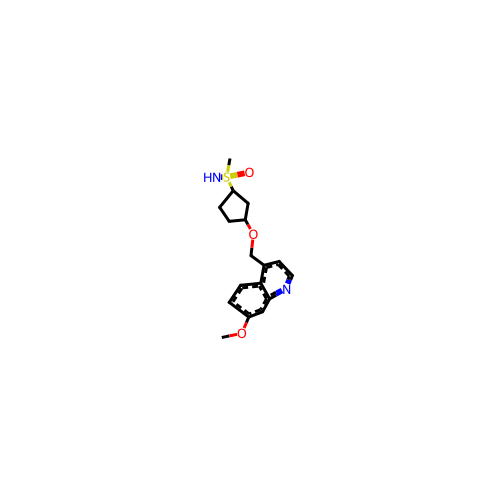 COc1ccc2c(COC3CCC(S(C)(=N)=O)C3)ccnc2c1